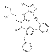 Cc1noc(C)c1NC(=O)N(CC[C@H](N)CF)[C@@H](c1nc(-c2cc(F)ccc2F)cn1Cc1ccccc1)C(C)(C)C